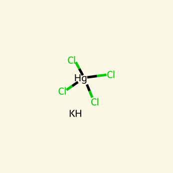 [Cl][Hg]([Cl])([Cl])[Cl].[KH]